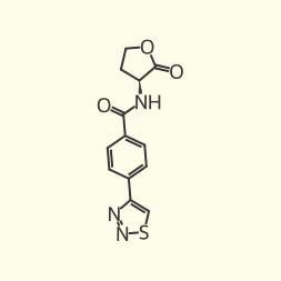 O=C(N[C@H]1CCOC1=O)c1ccc(-c2csnn2)cc1